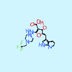 O=C(O)C1=C(NN2CCN(CC(F)(F)F)CC2)OC(=Cc2c[nH]c3ncccc23)C1=O